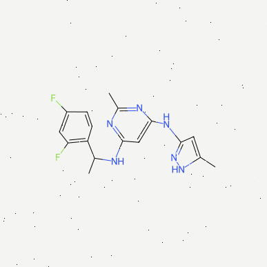 Cc1nc(Nc2cc(C)[nH]n2)cc(NC(C)c2ccc(F)cc2F)n1